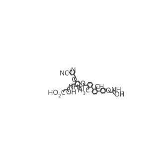 Cc1c(COc2cc(OCc3cncc(C#N)c3)c(CNCC(O)CC(=O)O)cc2Cl)cccc1-c1cccc(-c2ccc(OCC(N)CO)cc2)c1C